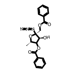 C[C@@H]1O[C@@](COC(=O)c2ccccc2)(N=[N+]=[N-])[C@@H](O)C1OC(=O)c1ccccc1